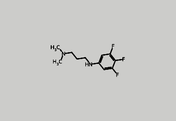 CN(C)CCCNc1cc(F)c(F)c(F)c1